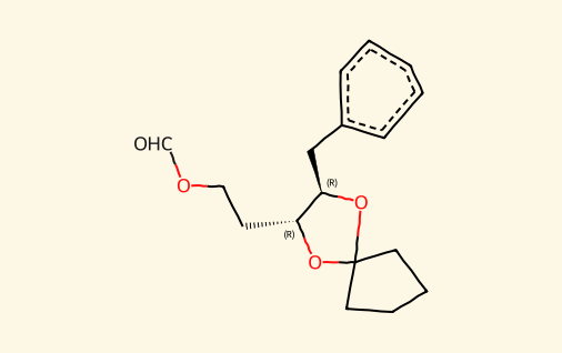 O=COCC[C@H]1OC2(CCCC2)O[C@@H]1Cc1ccccc1